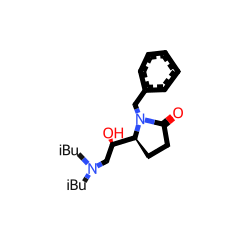 CCC(C)N(C[C@@H](O)[C@@H]1CCC(=O)N1Cc1ccccc1)C(C)CC